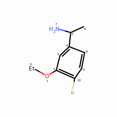 CCOc1cc(C(C)N)ccc1F